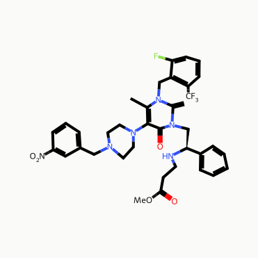 C=C1N(C[C@H](NCCC(=O)OC)c2ccccc2)C(=O)C(N2CCN(Cc3cccc([N+](=O)[O-])c3)CC2)=C(C)N1Cc1c(F)cccc1C(F)(F)F